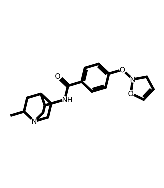 CC1CC2CCN1CC2NC(=O)c1ccc(ON2CC=CO2)cc1